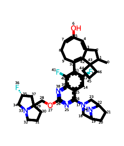 CC1CC2=C/C(O)=C\CC/C(c3c(F)cc4c(N5CC6CCC(C5)N6)nc(OCC56CCCN5C[C@H](F)C6)nc4c3F)=C\2C12CCC2